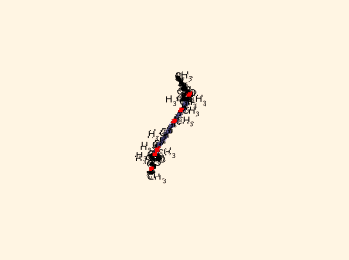 CCCCCC(=O)OC1CC(C)(C)C(/C=C/C(C)=C/C=C/C(C)=C/C=C/C=C(C)/C=C/C=C(C)/C=C/C2=C(C)C(=O)C(OC(=O)CCCCC)CC2(C)C)=C(C)C1=O